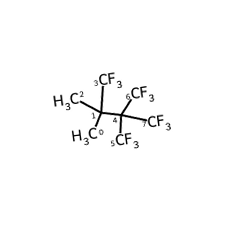 CC(C)(C(F)(F)F)C(C(F)(F)F)(C(F)(F)F)C(F)(F)F